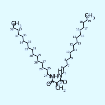 C=C(C(=O)NCCCCCCCCCCCCCCCC)C(=O)NCCCCCCCCCCCCCCCC